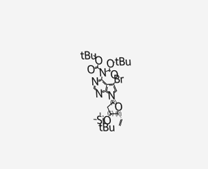 C=C[C@H]1O[C@@H](n2cc(Br)c3c(N(C(=O)OC(C)(C)C)C(=O)OC(C)(C)C)ncnc32)C[C@@H]1O[Si](C)(C)C(C)(C)C